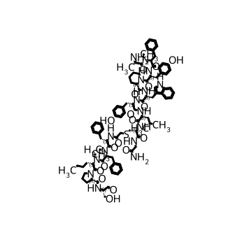 CCCC[C@@H](C(=O)N1CCC[C@@H]1C(=O)N[C@H](C=O)CO)N(C)C(=O)C(Cc1ccccc1)N(C)C(=O)[C@H](Cc1ccccc1)NC(=O)CSC[C@H](NC(=O)[C@H](CC(C)C)NC(=O)[C@H](Cc1ccc(O)cc1)NC(=O)[C@H](Cc1c[nH]c2ccccc12)NC(=O)[C@H]1CCCCN1C(=O)[C@H](Cc1ccc(O)cc1)NC(=O)C(Cc1ccccc1)N(C)C(=O)[C@H](C)N)C(=O)NCC(N)=O